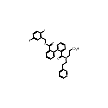 O=C(O)CCN(CCc1cccnc1)C(=O)c1ccccc1-c1ccccc1C(=O)NCc1cc(F)ccc1F